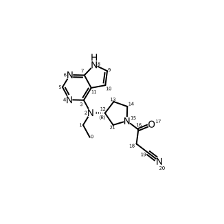 CCN(c1ncnc2[nH]ccc12)[C@@H]1CCN(C(=O)CC#N)C1